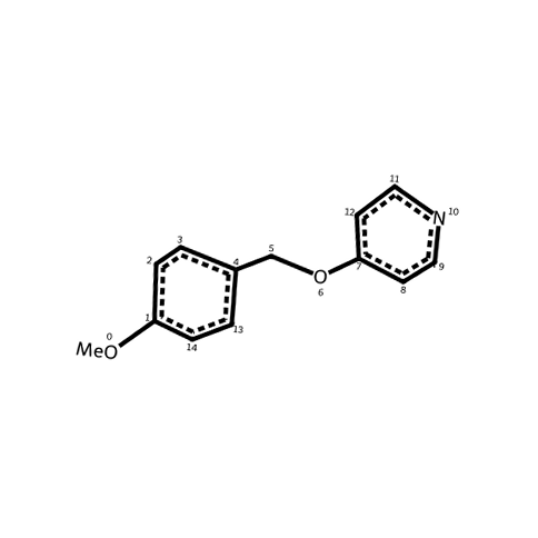 COc1ccc(COc2c[c]ncc2)cc1